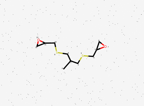 CC(CSCC1CO1)CSCC1CO1